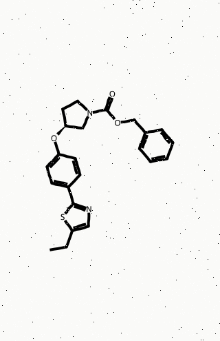 CCc1cnc(-c2ccc(O[C@H]3CCN(C(=O)OCc4ccccc4)C3)cc2)s1